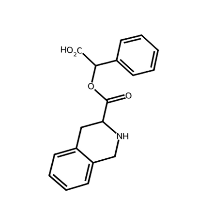 O=C(OC(C(=O)O)c1ccccc1)C1Cc2ccccc2CN1